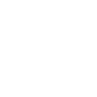 O=C(O)C=Cc1ccccc1.[In]